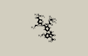 CCOc1cc(C(=O)N(C)C)cnc1Nc1nn(C(=O)OC(C)(C)C)c2cc([C@@H]3C[C@@]34C(=O)N(C(=O)O)c3ccc(OC)cc34)ccc12